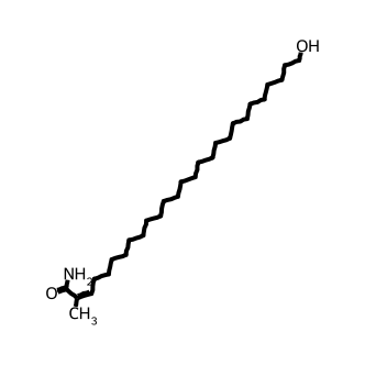 CC(=CCCCCCCCCCCCCCCCCCCCCCCCCO)C(N)=O